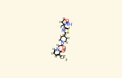 CC1(c2csc(C3CCN(C(=O)Cn4cccc(C(F)(F)F)c4=O)CC3)n2)CCON1